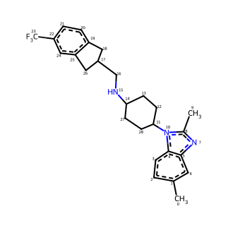 Cc1ccc2c(c1)nc(C)n2C1CCC(NCC2Cc3ccc(C(F)(F)F)cc3C2)CC1